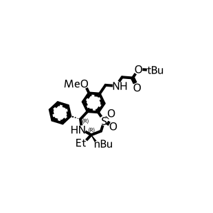 CCCC[C@]1(CC)CS(=O)(=O)c2cc(CNCC(=O)OC(C)(C)C)c(OC)cc2[C@@H](c2ccccc2)N1